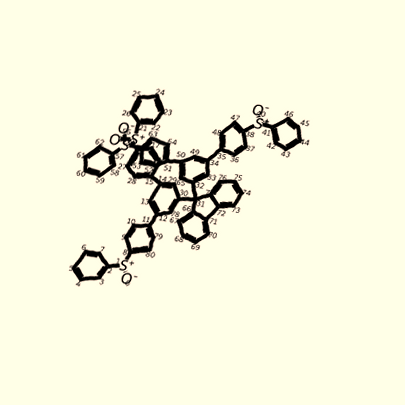 [O-][S+](c1ccccc1)c1ccc(-c2cc(-c3ccc([S+]([O-])c4ccccc4)cc3)cc(C3(c4cc(-c5ccc([S+]([O-])c6ccccc6)cc5)cc(-c5ccc([S+]([O-])c6ccccc6)cc5)c4)c4ccccc4-c4ccccc43)c2)cc1